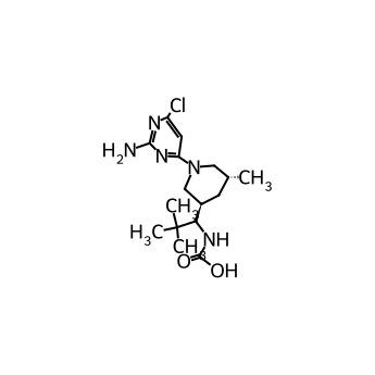 C[C@@H]1C[C@@H](C(NC(=O)O)C(C)(C)C)CN(c2cc(Cl)nc(N)n2)C1